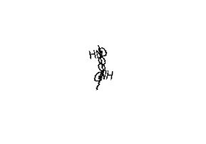 CCCCCC(=O)NCCOCCOCCNC(=O)CCC